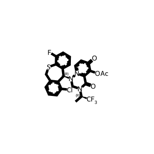 CC(=O)Oc1c2n(ccc1=O)N([C@@H]1c3cccc(F)c3SCc3cccc(Cl)c31)CN([C@H](C)C(F)(F)F)C2=O